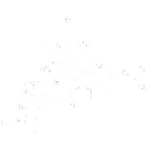 CSCC[C@H](NC(=O)[C@H](CC(C)C)NC(=O)[C@H](CCCNC(=N)N)NC(=O)[C@@H]1CCCN1)C(=O)N[C@@H](C)C(=O)N[C@@H](CC(C)C)C(=O)N[C@H](C(=O)N[C@@H](CS)C(=O)O)C(C)C